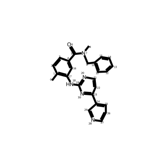 Cc1ccc(C(=O)N(C)Cc2ccccc2)cc1Nc1nccc(-c2cccnc2)n1